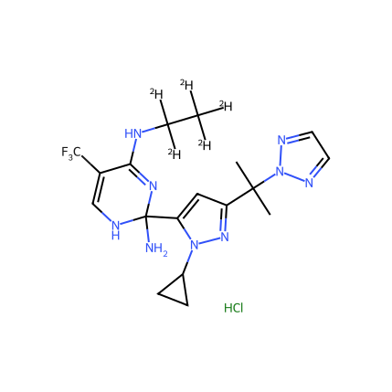 Cl.[2H]C([2H])([2H])C([2H])([2H])NC1=NC(N)(c2cc(C(C)(C)n3nccn3)nn2C2CC2)NC=C1C(F)(F)F